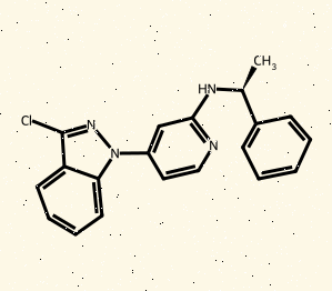 C[C@H](Nc1cc(-n2nc(Cl)c3ccccc32)ccn1)c1ccccc1